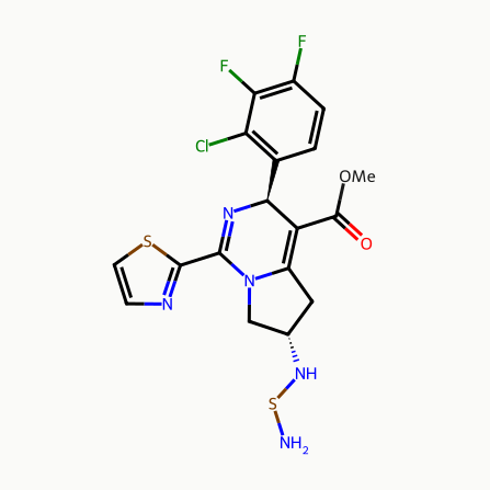 COC(=O)C1=C2C[C@H](NSN)CN2C(c2nccs2)=N[C@H]1c1ccc(F)c(F)c1Cl